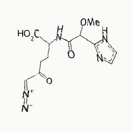 COC(C(=O)NC(CCC(=O)C=[N+]=[N-])C(=O)O)c1ncc[nH]1